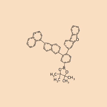 CC1(C)OB(c2ccc(-c3ccc4c(c3)oc3ccccc34)c(-c3ccc4cc(-c5cccc6ccccc56)ccc4c3)c2)OC1(C)C